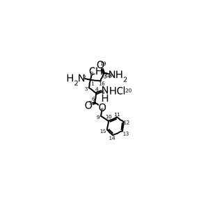 CC(N)(CC(=N)C(=O)OCc1ccccc1)CC(N)=O.Cl